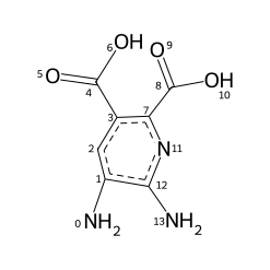 Nc1cc(C(=O)O)c(C(=O)O)nc1N